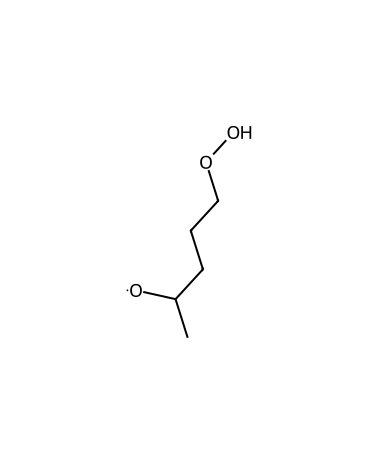 CC([O])CCCOO